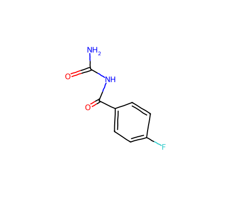 NC(=O)NC(=O)c1ccc(F)cc1